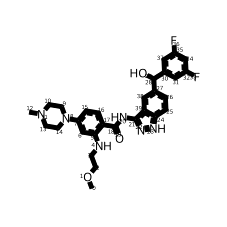 COCCNc1cc(N2CCN(C)CC2)ccc1C(=O)Nc1n[nH]c2ccc(C(O)c3cc(F)cc(F)c3)cc12